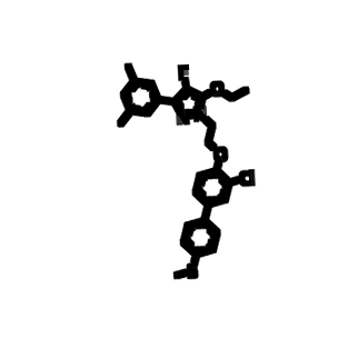 CCOc1c(F)c(-c2cc(C)cc(C)c2)nn1CCOc1ccc(-c2ccc(SC)cc2)cc1Cl